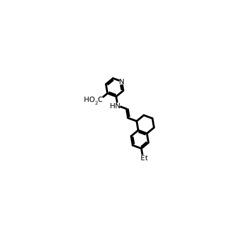 CCc1ccc2c(c1)CCCC2/C=C/Nc1cnccc1C(=O)O